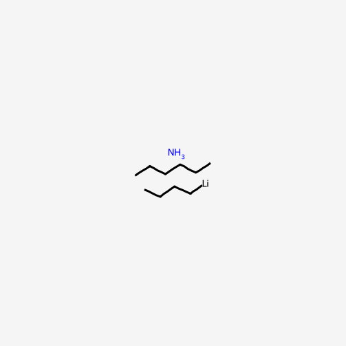 CCCCCC.N.[Li][CH2]CCC